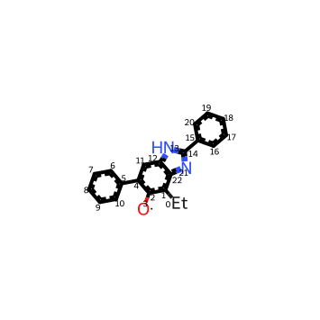 CCc1c([O])c(-c2ccccc2)cc2[nH]c(-c3ccccc3)nc12